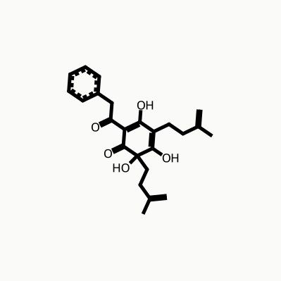 C=C(C)CCC1=C(O)C(O)(CCC(=C)C)C(=O)C(C(=O)Cc2ccccc2)=C1O